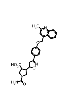 Cc1cc(COc2ccc(C3=NOC(C4CN(C(N)=O)CC4C(=O)O)C3)cc2)c2ccccc2n1